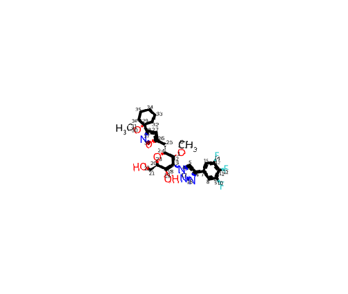 CO[C@@H]1[C@@H](n2cc(-c3cc(F)c(F)c(F)c3)nn2)[C@@H](O)[C@@H](CO)O[C@@H]1Cc1cc(C2(OC)CCCCC2)no1